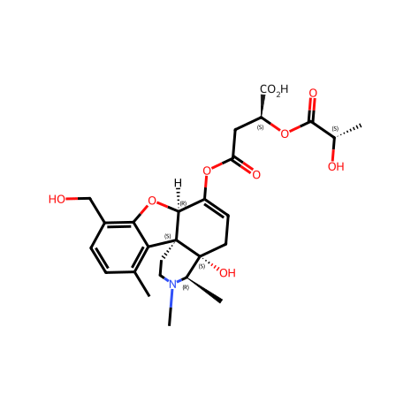 Cc1ccc(CO)c2c1[C@]13CCN(C)[C@H](C)[C@]1(O)CC=C(OC(=O)C[C@H](OC(=O)[C@H](C)O)C(=O)O)[C@@H]3O2